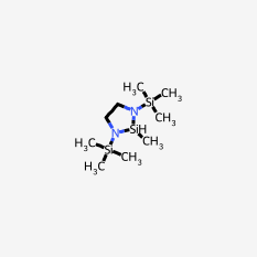 C[SiH]1N([Si](C)(C)C)CCN1[Si](C)(C)C